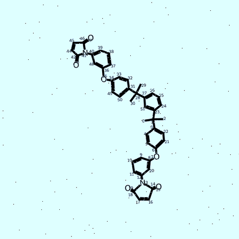 CC(C)(c1ccc(Oc2cccc(N3C(=O)C=CC3=O)c2)cc1)c1cccc(C(C)(C)c2ccc(Oc3cccc(N4C(=O)C=CC4=O)c3)cc2)c1